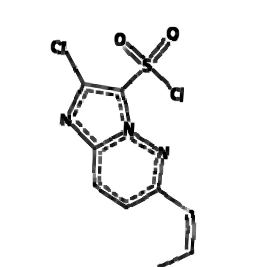 C/C=C\c1ccc2nc(Cl)c(S(=O)(=O)Cl)n2n1